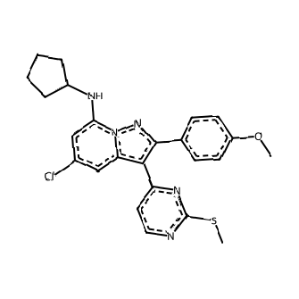 COc1ccc(-c2nn3c(NC4CCCC4)cc(Cl)cc3c2-c2ccnc(SC)n2)cc1